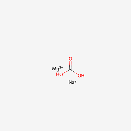 O=C(O)O.[Mg+2].[Na+]